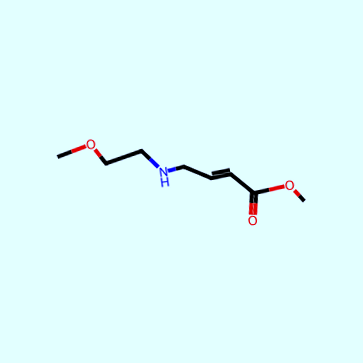 COCCNCC=CC(=O)OC